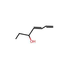 C=C/C=C/C(O)CC